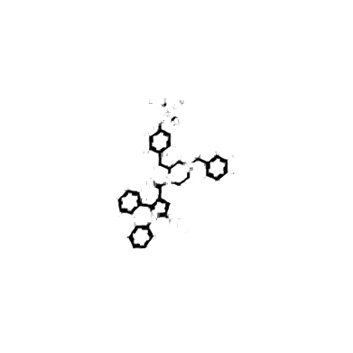 O=C(c1cc(C(F)(F)F)n(-c2ccccc2)c1-c1ccccc1)N1CCN(Cc2ccccc2)CC1Cc1ccc(OS(=O)(=O)C(F)(F)F)cc1